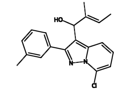 CC=C(C)C(O)c1c(-c2cccc(C)c2)nn2c(Cl)cccc12